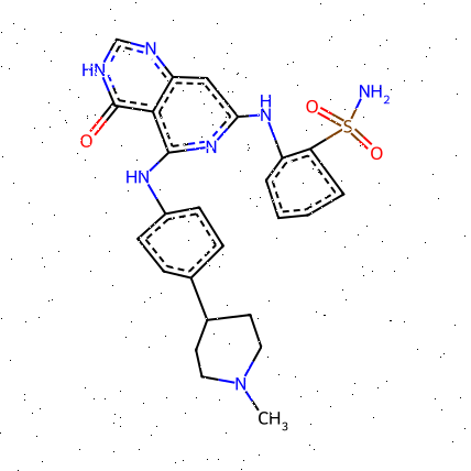 CN1CCC(c2ccc(Nc3nc(Nc4ccccc4S(N)(=O)=O)cc4nc[nH]c(=O)c34)cc2)CC1